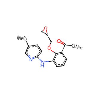 COC(=O)c1cccc(Nc2ccc(OC)cn2)c1OC[C@H]1CO1